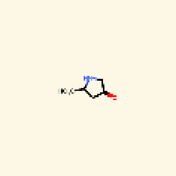 O=C1CNC(C(=O)O)C1